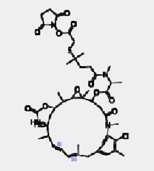 C/C1=C\C=C\C(C)C2(O)CC(OC(=O)N2)C(C)C2OC2(C)C(OC(=O)C(C)N(C)C(=O)CCC(C)(C)SCC(=O)ON2C(=O)CCC2=O)CC(=O)N(C)c2cc(cc(C)c2Cl)C1